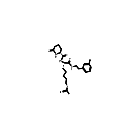 CC(=O)SCCCCC[C@H](NC(=O)[C@@H]1CCCC(=O)N1)C(=O)NCCc1cccc(C)c1